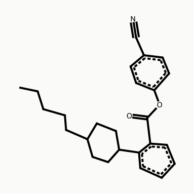 CCCCCC1CCC(c2ccccc2C(=O)Oc2ccc(C#N)cc2)CC1